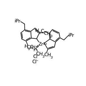 CC1=Cc2c(CC(C)C)ccc(C)c2[CH]1[Zr+2]([CH]1C(C)=Cc2c(CC(C)C)ccc(C)c21)=[Si](C)C.[Cl-].[Cl-]